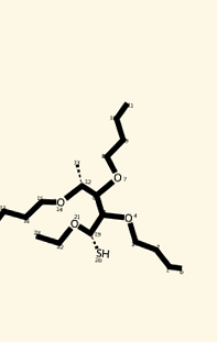 CCCCOC(C(OCCCC)[C@@H](C)OCCCC)[C@H](S)OCC